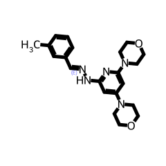 Cc1cccc(/C=N/Nc2cc(N3CCOCC3)cc(N3CCOCC3)n2)c1